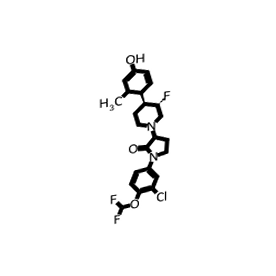 CC1C=C(O)C=CC1[C@@H]1CCN(C2CCN(c3ccc(OC(F)F)c(Cl)c3)C2=O)C[C@H]1F